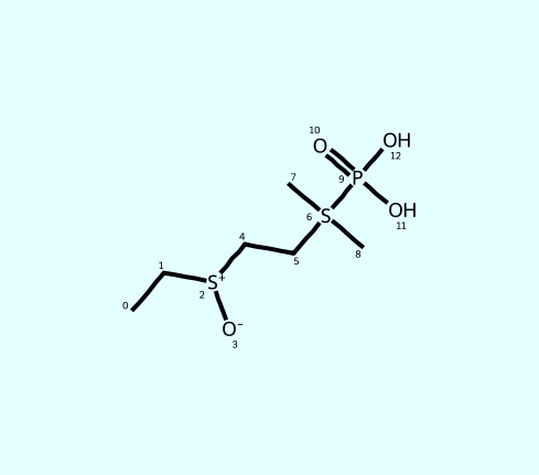 CC[S+]([O-])CCS(C)(C)P(=O)(O)O